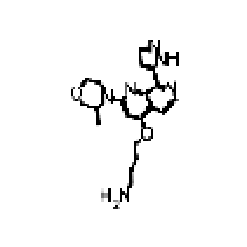 CC1COCCN1c1cc(OCCCCN)c2ccnc(-c3ccn[nH]3)c2n1